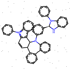 C1=CC2c3ccccc3-c3ccccc3N(c3cccc([C@@H]4Nc5ccccc5N4c4ccccc4)c3)C2c2c1n(-c1ccccc1)c1ccccc21